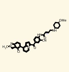 CO[C@H]1CC[C@H](NC/C=C/C(=O)Nc2ccc(C(=O)c3ccc4c(-c5ccc6nn(C)cc6c5Cl)cccn34)cc2C#N)CC1